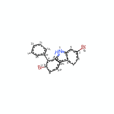 Brc1ccc2c(c1)[nH]c1c(-c3ccccc3)c(Br)ccc12